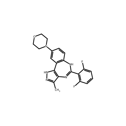 Cc1n[nH]c2c1N=C(c1c(F)cccc1F)Nc1ccc(N3CCOCC3)cc1-2